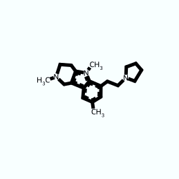 Cc1cc(CCN2CCCC2)c2c(c1)c1c(n2C)CCN(C)C1